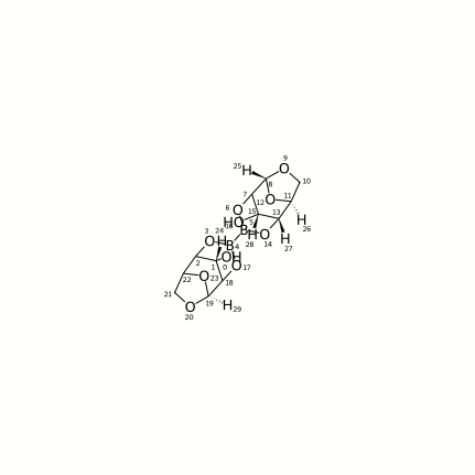 O[C@H]1C2OB(B3OC4[C@@H]5OC[C@H](O5)[C@H](O3)[C@@H]4O)OC1[C@H]1OCC2O1